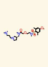 COc1cc(C)c(S(=O)(=O)N(C)CCOCC(=O)N(C)C[C@H]2CCN(CCCN(C)C)C2)c(C)c1